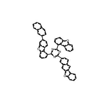 c1ccc2cc(-c3ccc4c(c3)oc3cccc(-c5nc(-c6ccc7cc8c(cc7c6)oc6ccccc68)nc(-c6cccc7oc8ccccc8c67)n5)c34)ccc2c1